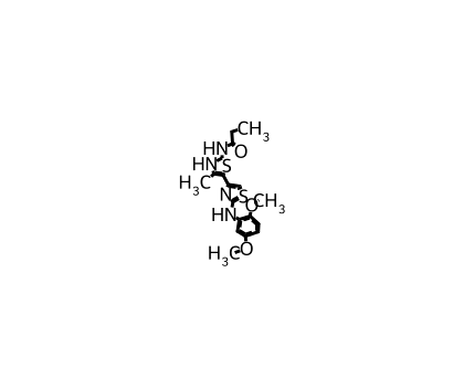 CCC(=O)NC1NC(C)=C(c2csc(Nc3cc(OC)ccc3OC)n2)S1